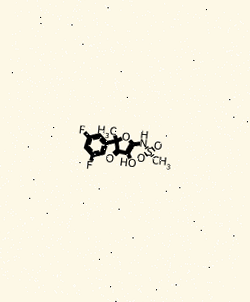 CC1(c2cc(F)cc(F)c2)OC(NS(C)(=O)=O)=C(O)C1=O